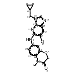 CN1C(=O)COc2cc(Nc3nc4c(cc3Cl)ncn4CC3CC3)ccc21